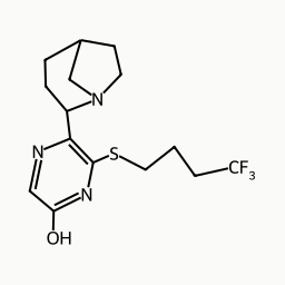 Oc1cnc(C2CCC3CCN2C3)c(SCCCC(F)(F)F)n1